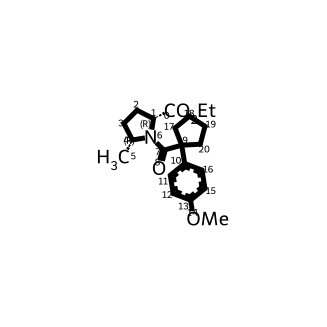 CCOC(=O)[C@H]1CC[C@@H](C)N1C(=O)C1(c2ccc(OC)cc2)CCCC1